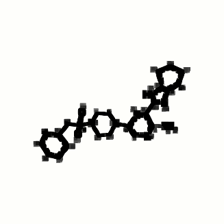 Nc1ncc(N2CCN(S(=O)(=O)Cc3ccccc3)CC2)nc1-c1nc2ccccc2[nH]1